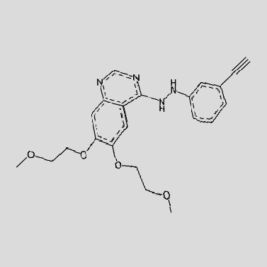 C#Cc1cccc(NNc2ncnc3cc(OCCOC)c(OCCOC)cc23)c1